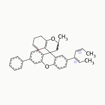 C/C=C\C(=C/C)c1ccc2c(c1)C1(C3=CC=CCC3(C)OC3=C1C=CCC3)c1ccc(-c3ccccc3)cc1O2